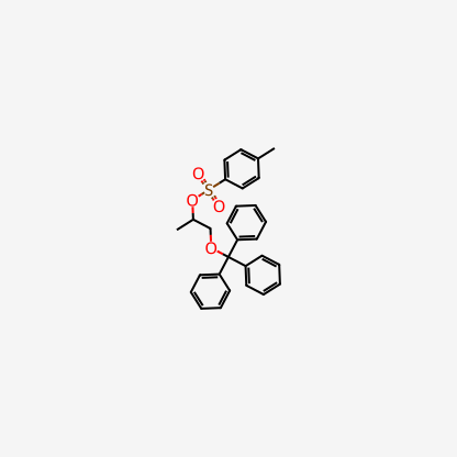 Cc1ccc(S(=O)(=O)OC(C)COC(c2ccccc2)(c2ccccc2)c2ccccc2)cc1